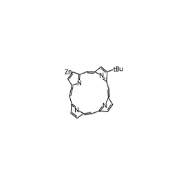 CC(C)(C)C1=CC2=CC3=NC(=CC4=NC(=CC5=NC(=CC1=N2)C=C5)C=C4)C=C3.[Zn]